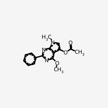 COc1nc(-c2ccccc2)nc2c1c(OC(C)=O)cn2C